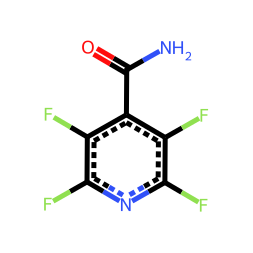 NC(=O)c1c(F)c(F)nc(F)c1F